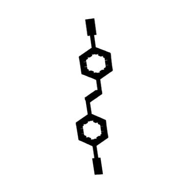 C#Cc1ccc(C=Cc2ccc(C#C)cc2)cc1